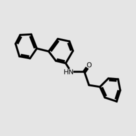 O=C(Cc1ccccc1)Nc1cccc(-c2ccccc2)c1